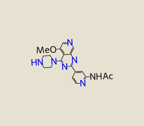 COc1cncc2nc(-c3ccnc(NC(C)=O)c3)nc(N3CCNCC3)c12